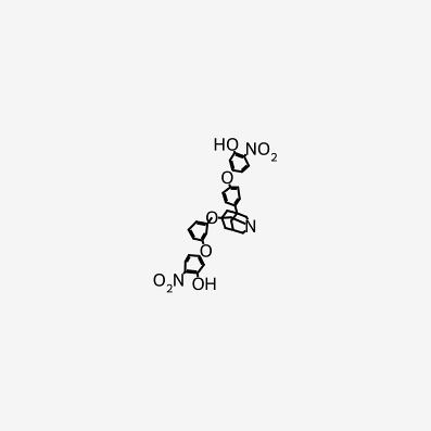 O=[N+]([O-])c1ccc(Oc2ccc(C34CC5CN(CC(Oc6cccc(Oc7ccc([N+](=O)[O-])c(O)c7)c6)(C5)C3)C4)cc2)cc1O